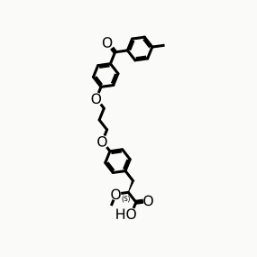 CO[C@@H](Cc1ccc(OCCCOc2ccc(C(=O)c3ccc(C)cc3)cc2)cc1)C(=O)O